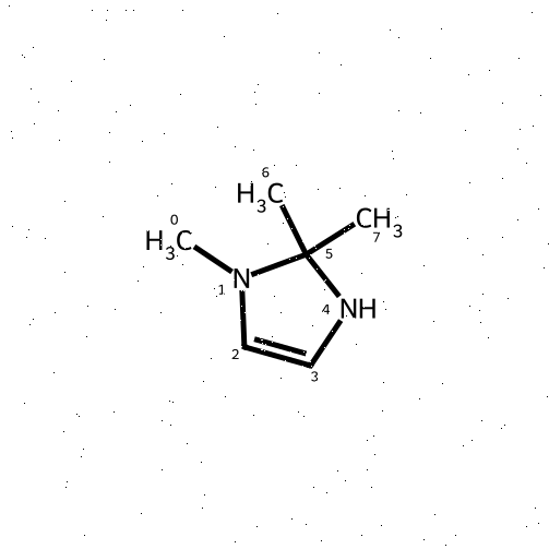 CN1C=CNC1(C)C